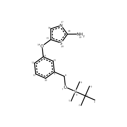 CC(C)(C)[Si](C)(C)OCc1cccc(Oc2cnc(N)s2)c1